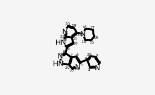 c1cncc(-c2cc3c(-c4cc5c(N6CCCCC6)ccnc5[nH]4)n[nH]c3cn2)c1